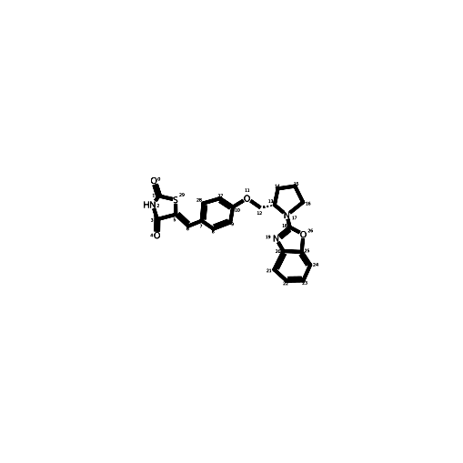 O=C1NC(=O)C(=Cc2ccc(OC[C@@H]3CCCN3c3nc4ccccc4o3)cc2)S1